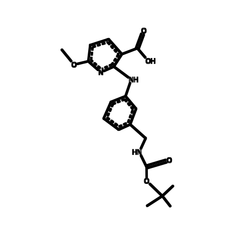 COc1ccc(C(=O)O)c(Nc2cccc(CNC(=O)OC(C)(C)C)c2)n1